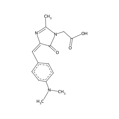 CC1=N/C(=C/c2ccc(N(C)C)cc2)C(=O)N1CC(=O)O